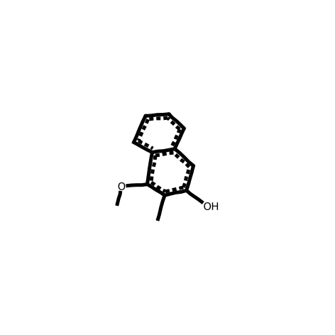 COc1c(C)c(O)cc2ccccc12